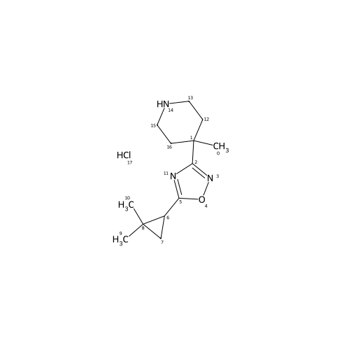 CC1(c2noc(C3CC3(C)C)n2)CCNCC1.Cl